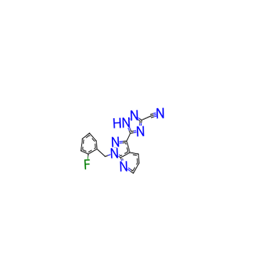 N#Cc1n[nH]c(-c2nn(Cc3ccccc3F)c3ncccc23)n1